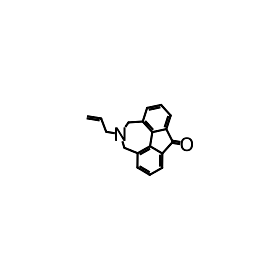 C=CCN1Cc2cccc3c2-c2c(cccc2C3=O)C1